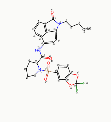 COCCCN1C(=O)c2cccc3c(NC(=O)C4CCCCN4S(=O)(=O)c4ccc5c(c4)OC(F)(F)O5)ccc1c23